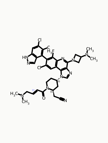 Cc1c(Cl)cc2[nH]ncc2c1-c1c(Cl)cc2c(nc(N3CC(N(C)C)C3)c3ncn([C@H]4CCN(C(=O)/C=C/CN(C)C)[C@H](CC#N)C4)c32)c1F